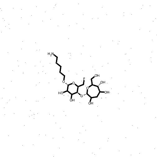 NCCCCCO[C@@H]1OC(CF)[C@@H](O[C@@H]2OC(CO)[C@H](O)C(O)CC2O)C(O)C1O